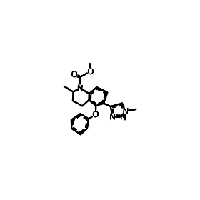 COC(=O)N1c2ccc(-c3cn(C)nn3)c(Oc3ccccc3)c2CCC1C